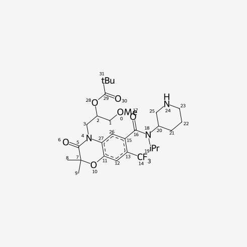 COCC(CN1C(=O)C(C)(C)Oc2cc(C(F)(F)F)c(C(=O)N(C(C)C)C3CCCNC3)cc21)OC(=O)C(C)(C)C